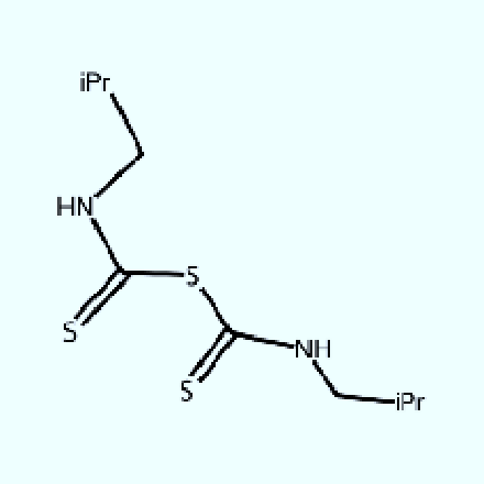 CC(C)CNC(=S)SC(=S)NCC(C)C